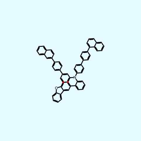 c1cc(-c2ccc(-c3ccc4ccccc4c3)cc2)cc(N(c2ccc(-c3ccc(-c4cccc5ccccc45)cc3)cc2)c2ccccc2-c2ccc3oc4ccccc4c3c2)c1